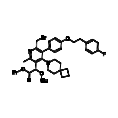 Cc1nc(CBr)c(-c2ccc(OCCc3ccc(F)cc3)cc2)c(N2CCC3(CCC3)CC2)c1C(OC(C)(C)C)C(=O)OC(C)C